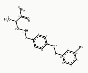 CC(ONCc1ccc(OCc2cccc(F)c2)cc1)C(N)=O